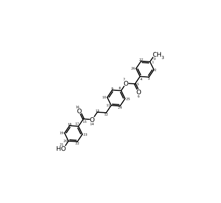 Cc1ccc(C(=O)Oc2ccc(CCOC(=O)c3ccc(O)cc3)cc2)cc1